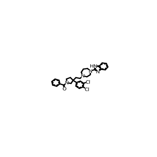 O=C(c1ccccc1)N1CCC(CCN2CCCN(c3nc4ccccc4[nH]3)CC2)(c2ccc(Cl)c(Cl)c2)C1